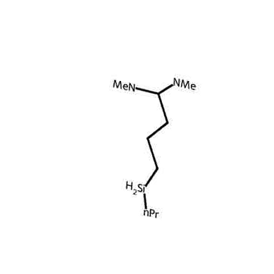 CCC[SiH2]CCCC(NC)NC